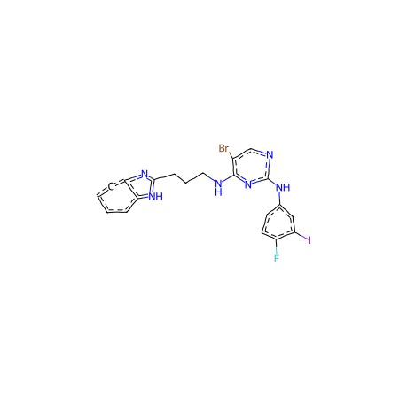 Fc1ccc(Nc2ncc(Br)c(NCCCc3nc4ccccc4[nH]3)n2)cc1I